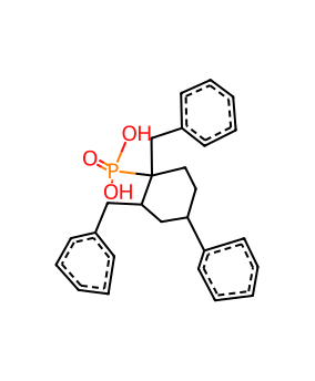 O=P(O)(O)C1(Cc2ccccc2)CCC(c2ccccc2)CC1Cc1ccccc1